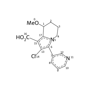 COC1CCCn2c(-c3cccnc3)c(Cl)c(C(=O)O)c21